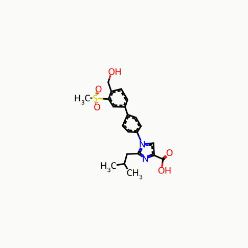 CC(C)Cc1nc(C(=O)O)cn1-c1ccc(-c2ccc(CO)c(S(C)(=O)=O)c2)cc1